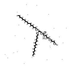 CCCCCCCCCCCCCCOC[C@H](COC(=O)NCCCOCCCOC)OCCCCCCCCCCCCCC